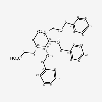 O=C(O)CC[C@@H]1CO[C@H](COCc2ccccc2)[C@H](OCc2ccccc2)[C@@H]1OCc1ccccc1